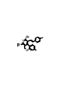 Cc1ccc(C=Cc2c(C(C)C)nc(C(C)C)c(CO)c2-c2ccc(F)cc2)cc1